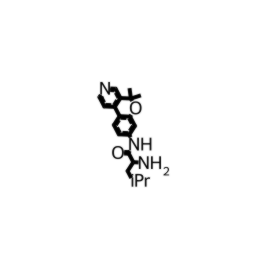 CC(C)CC(N)C(=O)Nc1ccc2c(c1)OC(C)(C)c1cnccc1-2